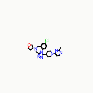 Cc1nccc(N2CCC(c3nnc4n3-c3ccc(Cl)cc3CN([C@@H]3CCOC3)C4)CC2)n1